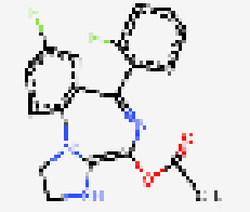 CC(=O)OC1=C2NCC[N+]2c2ccc(F)cc2C(c2ccccc2F)=N1